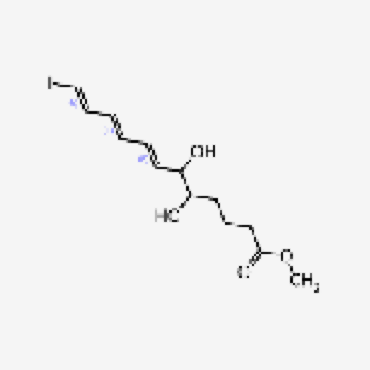 COC(=O)CCCC(O)C(O)/C=C/C=C/C=C/I